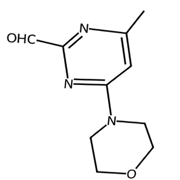 Cc1cc(N2CCOCC2)nc(C=O)n1